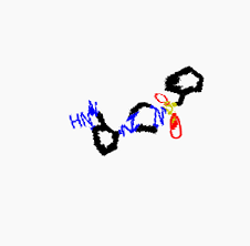 O=S(=O)(Cc1ccccc1)N1CCN(c2cccc3[nH]ncc23)CC1